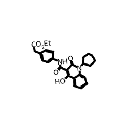 CCOC(=O)Cc1ccc(NC(=O)c2c(O)c3ccccc3n(C3CCCCC3)c2=O)cc1